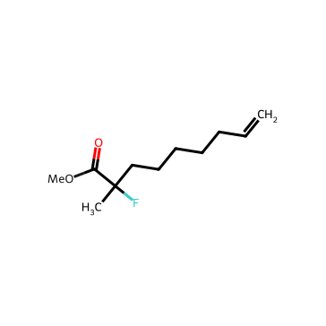 C=CCCCCCC(C)(F)C(=O)OC